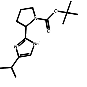 CC(C)c1c[nH]c(C2CCCN2C(=O)OC(C)(C)C)n1